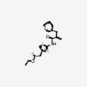 C=C(Cc1ccccc1)C(=O)Nc1nc(CC(=O)OCC)cs1